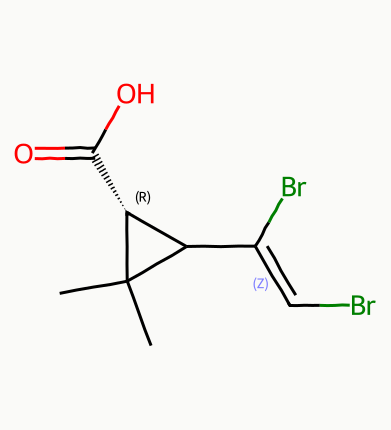 CC1(C)C(/C(Br)=C/Br)[C@H]1C(=O)O